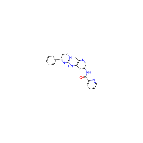 Cc1ncc(NC(=O)c2ccccn2)cc1Nc1nccc(-c2ccccc2)n1